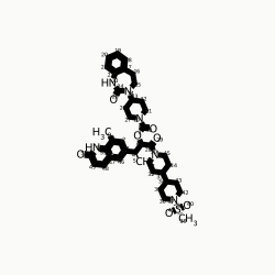 Cc1cc([C@@H](C)C(OC(=O)N2CCC(N3CCc4ccccc4NC3=O)CC2)C(=O)N2CCC(C3CCN(S(C)(=O)=O)CC3)CC2)cc2ccc(=O)[nH]c12